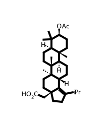 CC(=O)O[C@H]1CC[C@]2(C)[C@H]3CC[C@@H]4C5=C(C(C)C)CC[C@]5(CC(=O)O)CC[C@@]4(C)[C@]3(C)CC[C@H]2C1(C)C